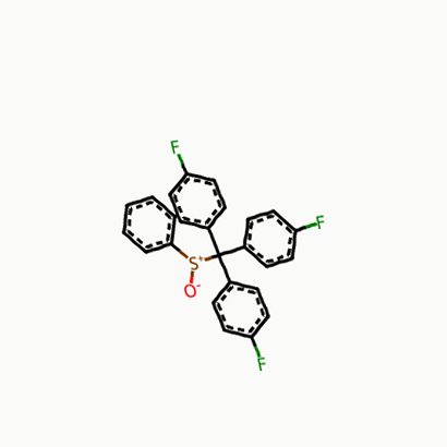 [O-][S+](c1ccccc1)C(c1ccc(F)cc1)(c1ccc(F)cc1)c1ccc(F)cc1